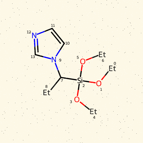 CCO[Si](OCC)(OCC)C(CC)n1ccnc1